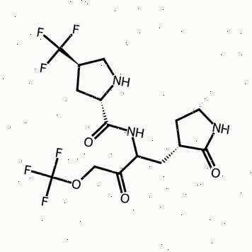 O=C(COC(F)(F)F)C(C[C@@H]1CCNC1=O)NC(=O)[C@@H]1C[C@@H](C(F)(F)F)CN1